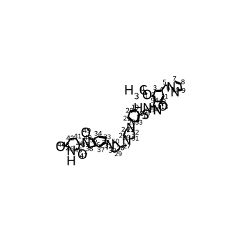 COc1cc(Cn2cccn2)cc2onc(NSc3cccc(N4CCN(CC5CCN(c6ccc7c(c6)CN(C6CCC(=O)NC6=O)C7=O)C5)CC4)c3)c12